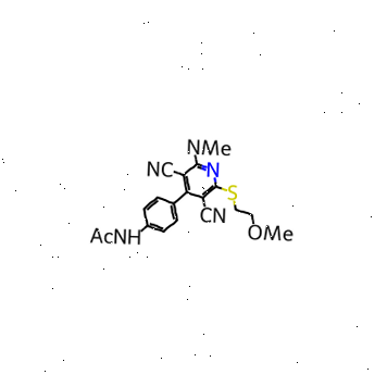 CNc1nc(SCCOC)c(C#N)c(-c2ccc(NC(C)=O)cc2)c1C#N